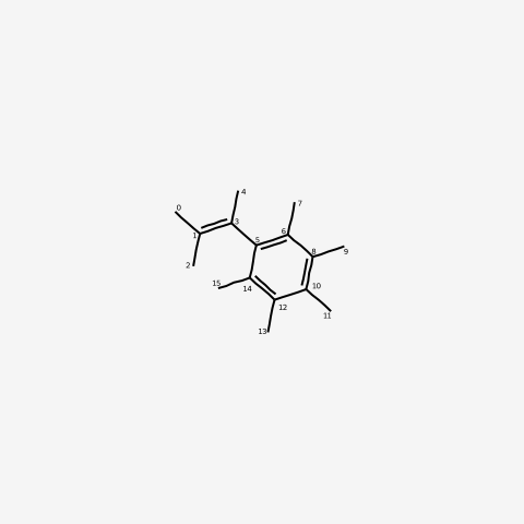 CC(C)=C(C)c1c(C)c(C)c(C)c(C)c1C